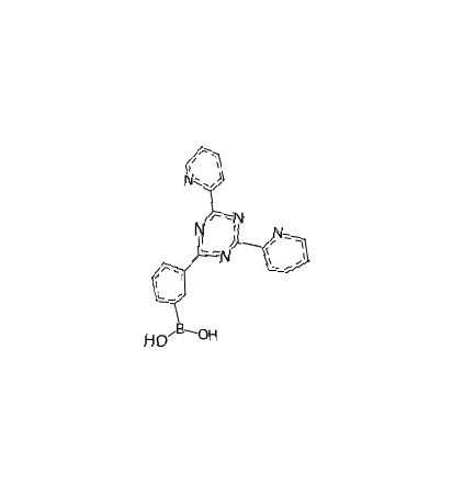 OB(O)c1cccc(-c2nc(-c3ccccn3)nc(-c3ccccn3)n2)c1